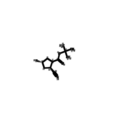 CC(C)(C)OC(=O)N1C[C@@H](F)C[C@@H]1C#N